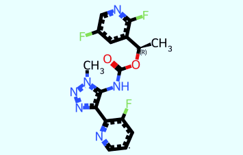 C[C@@H](OC(=O)Nc1c(-c2nc[c]cc2F)nnn1C)c1cc(F)cnc1F